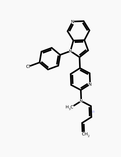 C=C/C=C\N(C)c1ccc(-c2cc3ccncc3n2-c2ccc(Cl)cc2)cn1